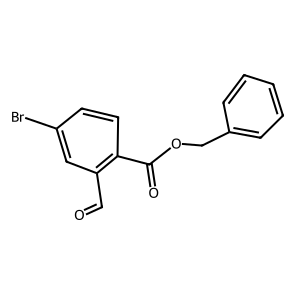 O=Cc1cc(Br)ccc1C(=O)OCc1ccccc1